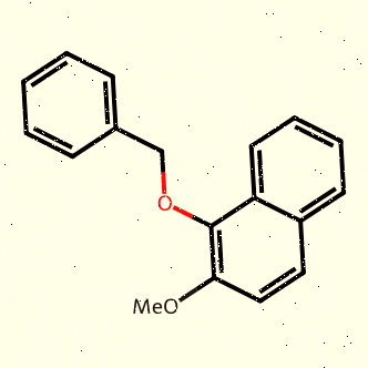 COc1ccc2ccccc2c1OCc1ccccc1